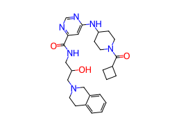 O=C(NCC(O)CN1CCc2ccccc2C1)c1cc(NC2CCN(C(=O)C3CCC3)CC2)ncn1